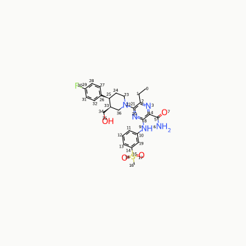 CCc1nc(C(N)=O)c(Nc2cccc(S(C)(=O)=O)c2)nc1N1CC[C@H](c2ccc(F)cc2)[C@H](CO)C1